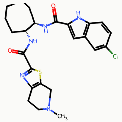 CN1CCc2nc(C(=O)N[C@@H]3CCCCC[C@H]3NC(=O)c3cc4cc(Cl)ccc4[nH]3)sc2C1